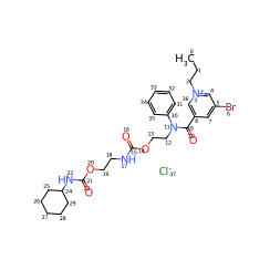 CCC[n+]1cc(Br)cc(C(=O)N(CCOC(=O)NCCOC(=O)NC2CCCCC2)c2ccccc2)c1.[Cl-]